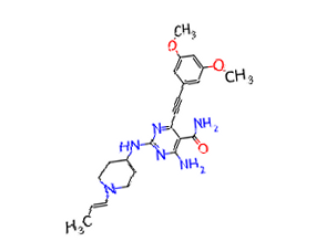 CC=CN1CCC(Nc2nc(N)c(C(N)=O)c(C#Cc3cc(OC)cc(OC)c3)n2)CC1